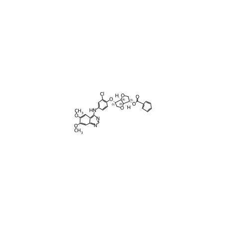 COc1cc2ncnc(Nc3ccc(O[C@H]4CO[C@H]5[C@@H]4OC[C@@H]5OC(=O)c4ccccc4)c(Cl)c3)c2cc1OC